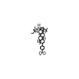 C=C(C)[C@@H]1CC[C@]2(Nc3nc(CC)cs3)CC[C@]3(C)[C@H](CC[C@@H]4[C@@]5(C)CC=C(c6ccc(C(=O)OC)cc6)C(C)(C)[C@@H]5CC[C@]43C)[C@@H]12